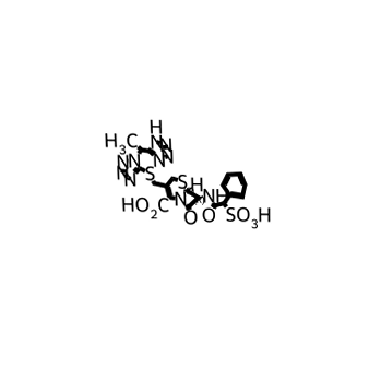 CC(c1nnn[nH]1)n1nnnc1SCC1=C(C(=O)O)N2C(=O)[C@@H](NC(=O)C(c3ccccc3)S(=O)(=O)O)[C@@H]2SC1